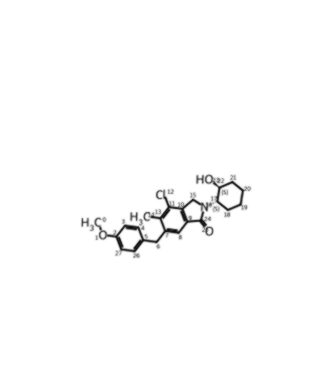 COc1ccc(Cc2cc3c(c(Cl)c2C)CN([C@H]2CCCC[C@@H]2O)C3=O)cc1